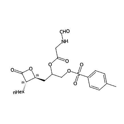 CCCCCC[C@@H]1C(=O)O[C@H]1CC(COS(=O)(=O)c1ccc(C)cc1)OC(=O)CNC=O